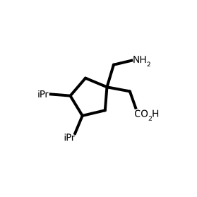 CC(C)C1CC(CN)(CC(=O)O)CC1C(C)C